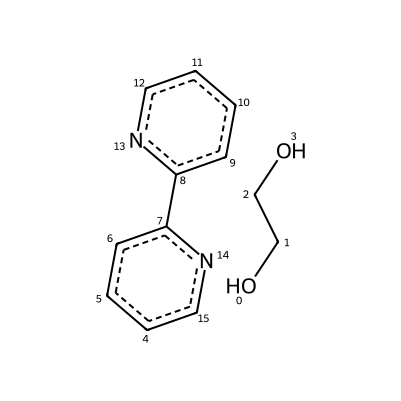 OCCO.c1ccc(-c2ccccn2)nc1